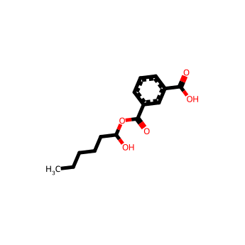 CCCCCC(O)OC(=O)c1cccc(C(=O)O)c1